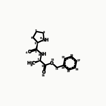 C[C@@H](NC(=O)[C@H]1CCCN1)C(=O)OCc1ccccc1